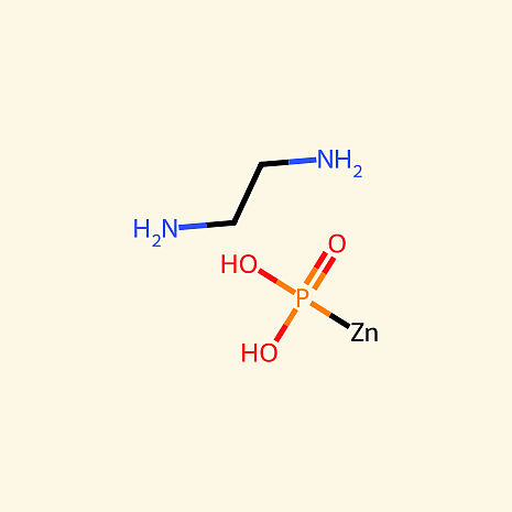 NCCN.O=[P](O)(O)[Zn]